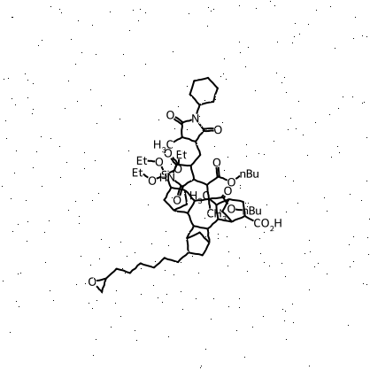 CCCCOC(=O)C(C1C(=O)NC(=O)C1CC1C(=O)N(C2CCCCC2)C(=O)C1C)C(C)(C(=O)OCCCC)C1C2CC(CC2[Si](OCC)(OCC)OCC)C1C1C2CC(CC2CCCCCCC2CO2)C1C1C(C)C2CC(C(=O)O)C1C2